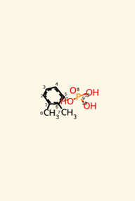 Cc1ccccc1C.O=P(O)(O)O